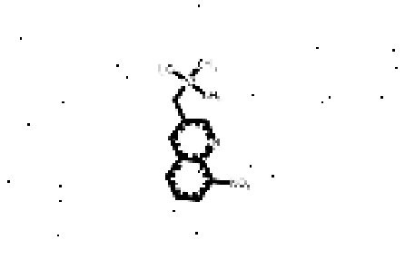 C[N+](C)(C)Cc1cnc2c([N+](=O)[O-])cccc2c1